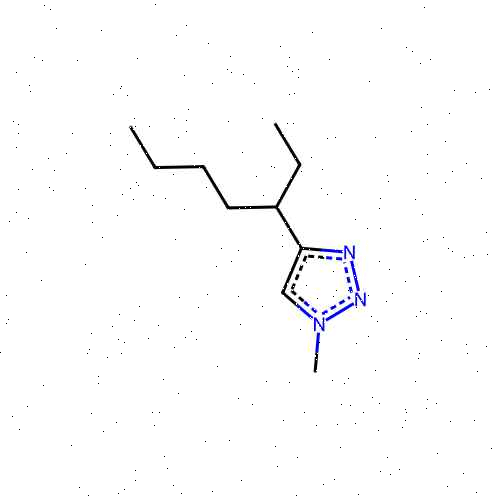 CCCCC(CC)c1cn(C)nn1